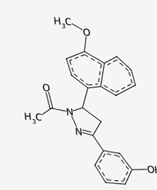 COc1ccc(C2CC(c3cccc(O)c3)=NN2C(C)=O)c2ccccc12